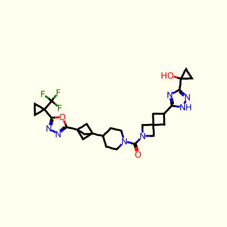 O=C(N1CCC(C23CC(c4nnc(C5(C(F)(F)F)CC5)o4)(C2)C3)CC1)N1CC2(CC(c3nc(C4(O)CC4)n[nH]3)C2)C1